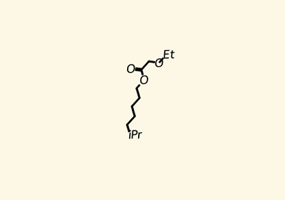 CCOCC(=O)OCCCCCC(C)C